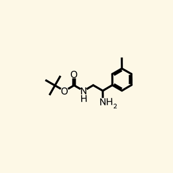 Cc1cccc(C(N)CNC(=O)OC(C)(C)C)c1